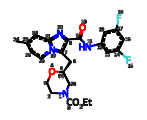 CCOC(=O)N1CCO[C@@H](Cc2c(C(=O)Nc3cc(F)cc(F)c3)nc3cc(C)ccn23)C1